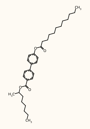 CCCCCCCCCCCC(=O)Oc1ccc(-c2ccc(C(=O)OC(C)CCCCCC)cc2)cc1